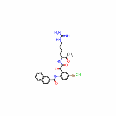 CC(=O)C(CCCCNC(=N)N)NC(=O)C(=O)c1cc(Br)ccc1NC(=O)c1ccc2ccccc2c1.Cl